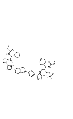 COC(=O)N[C@H](C(=O)N1CC(F)(F)CC1c1nnc(-c2ccc(-c3ccc4cc(-c5cnc([C@@H]6CCCN6C(=O)[C@H](NC(=O)OC)c6ccccc6)[nH]5)ccc4c3)cc2)[nH]1)C1CCOCC1